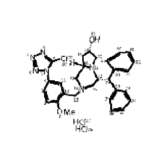 COc1ccc(-n2nnnc2C(F)(F)F)cc1CN1C[C@@H]2C[C@H](O)CN2[C@H](C(c2ccccc2)c2ccccc2)C1.Cl.Cl